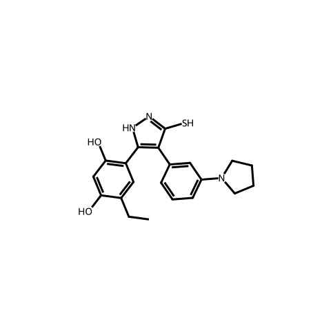 CCc1cc(-c2[nH]nc(S)c2-c2cccc(N3CCCC3)c2)c(O)cc1O